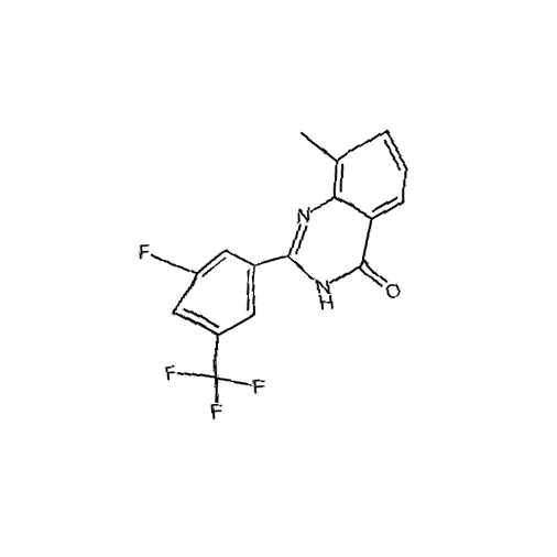 Cc1cccc2c(=O)[nH]c(-c3cc(F)cc(C(F)(F)F)c3)nc12